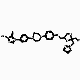 CCC(C)n1ncn(-c2ccc(N3CCN(c4ccc(OCC5COC(CC(C)C)(Cn6nccn6)O5)cc4)CC3)cc2)c1=O